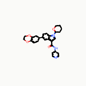 O=C(Nc1ccncc1)c1cn(C2CCCCO2)c2ccc(-c3ccc4c(c3)OCCO4)cc12